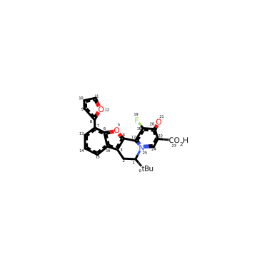 CC(C)(C)C1Cc2c(oc3c(-c4ccco4)cccc23)-c2c(F)c(=O)c(C(=O)O)cn21